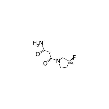 NC(=O)[CH]C(=O)N1CC[C@H](F)C1